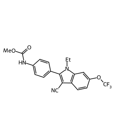 CCn1c(-c2ccc(NC(=O)OC)cc2)c(C#N)c2ccc(OC(F)(F)F)cc21